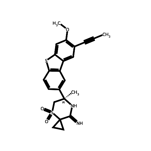 CC#Cc1cc2c(cc1OC)sc1ccc([C@]3(C)CS(=O)(=O)C4(CC4)C(=N)N3)cc12